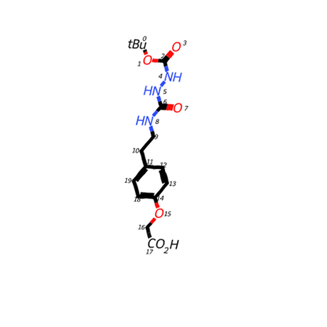 CC(C)(C)OC(=O)NNC(=O)NCCc1ccc(OCC(=O)O)cc1